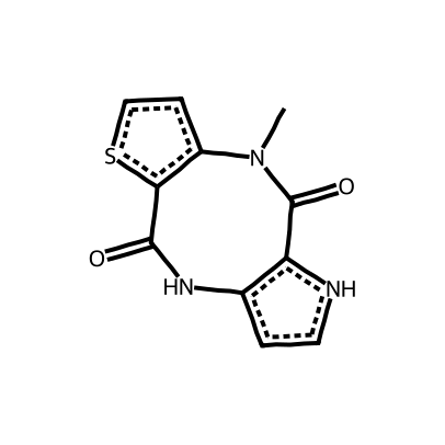 CN1C(=O)c2[nH]ccc2NC(=O)c2sccc21